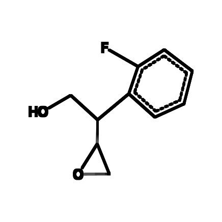 OCC(c1ccccc1F)C1CO1